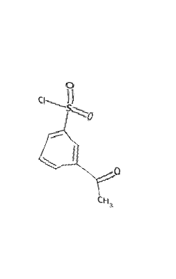 CC(=O)c1cccc(S(=O)(=O)Cl)c1